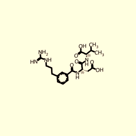 CC(C)[C@H](NC(=O)[C@H](CC(=O)O)NC(=O)c1cccc(CCCNC(=N)N)c1)C(=O)O